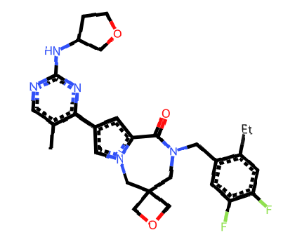 CCc1cc(F)c(F)cc1CN1CC2(COC2)Cn2cc(-c3nc(NC4CCOC4)ncc3C)cc2C1=O